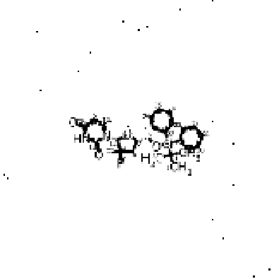 CC(C)(C)[Si](OC[C@@H]1CC(F)(F)[C@H](n2ccc(=O)[nH]c2=O)O1)(c1ccccc1)c1ccccc1